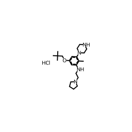 Cc1c(NCCN2CCCC2)cc(OCC(C)(C)C)cc1N1CCNCC1.Cl